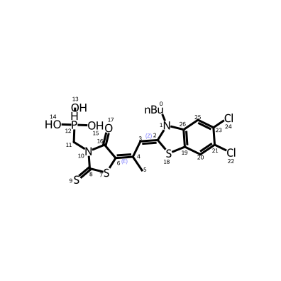 CCCCN1/C(=C/C(C)=C2/SC(=S)N(C[PH](O)(O)O)C2=O)Sc2cc(Cl)c(Cl)cc21